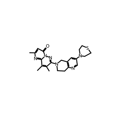 Cc1cc(=O)n2nc(N3CCc4ncc(N5CCSCC5)cc4C3)c(C)c(C)c2n1